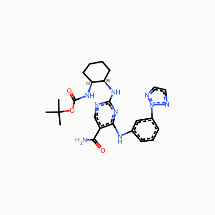 CC(C)(C)OC(=O)N[C@H]1CCCC[C@H]1Nc1ncc(C(N)=O)c(Nc2cccc(-n3nccn3)c2)n1